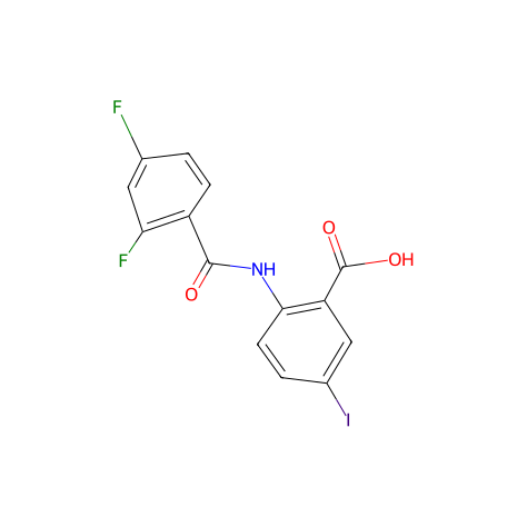 O=C(Nc1ccc(I)cc1C(=O)O)c1ccc(F)cc1F